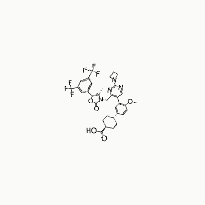 COc1ccc([C@H]2CC[C@H](C(=O)O)CC2)cc1-c1cnc(N2CCC2)nc1CN1C(=O)OC(c2cc(C(F)(F)F)cc(C(F)(F)F)c2)[C@@H]1C